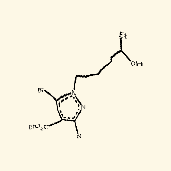 CCOC(=O)c1c(Br)nn(CCCC(O)CC)c1Br